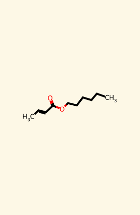 C/C=C/C(=O)OCCCCCC